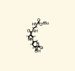 CC(C)(C)OC(=O)NCCNC(=O)c1cnn(C2=CC3CN(C2)C(=O)N3O)c1